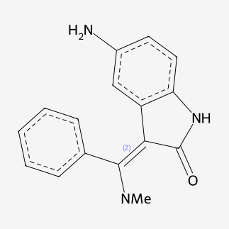 CN/C(=C1\C(=O)Nc2ccc(N)cc21)c1ccccc1